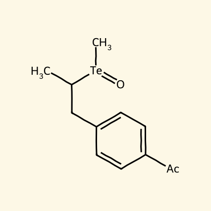 CC(=O)c1ccc(CC(C)[Te](C)=O)cc1